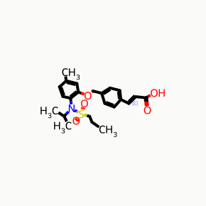 CCCS(=O)(=O)N(c1ccc(C)cc1OCc1ccc(/C=C/C(=O)O)cc1)C(C)C